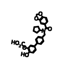 O=C(O)Oc1cc(-c2ccc(CN(C(=O)c3ccc4c(c3)OCO4)C3CCCC3)cc2)ccc1O